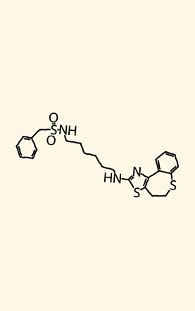 O=S(=O)(Cc1ccccc1)NCCCCCCNc1nc2c(s1)CCSc1ccccc1-2